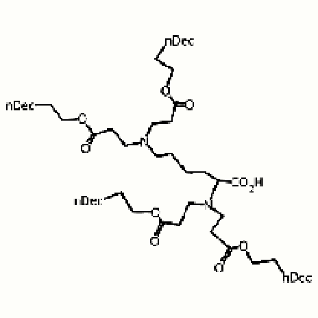 CCCCCCCCCCCCOC(=O)CCN(CCCCC(C(=O)O)N(CCC(=O)OCCCCCCCCCCCC)CCC(=O)OCCCCCCCCCCCC)CCC(=O)OCCCCCCCCCCCC